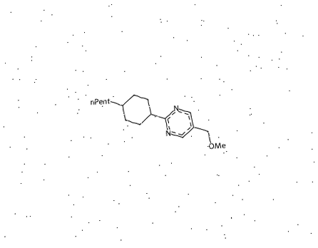 CCCCCC1CCC(c2ncc(COC)cn2)CC1